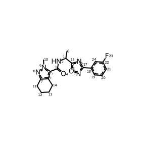 CC(NC(=O)c1c2c(nn1C)CCCC2)c1nc(-c2cccc(F)c2)no1